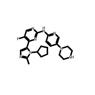 Cc1ncc(-c2nc(Nc3ccc(N4CCNCC4)cn3)ncc2F)n1C1CCCC1